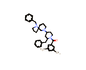 O=C(c1cc(C(F)(F)F)cc(C(F)(F)F)c1)N1CCC(N2CCCC3(CCCN3Cc3ccccc3)C2)CC1Cc1ccccc1